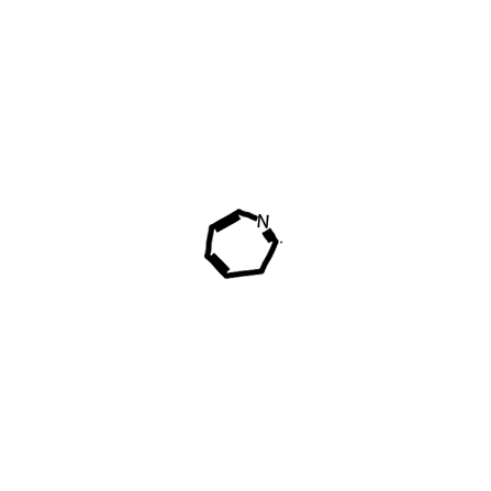 [C]1=NC=CC=CC1